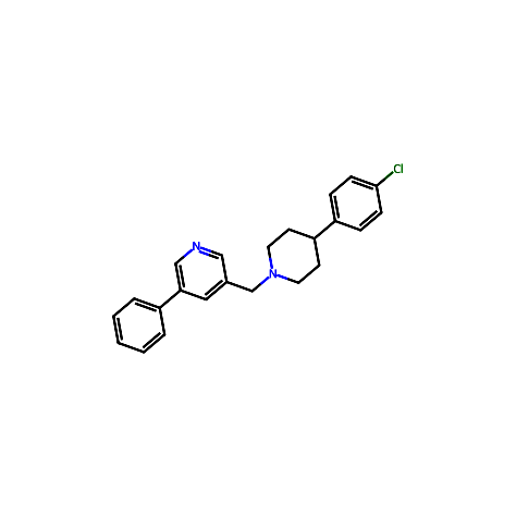 Clc1ccc(C2CCN(Cc3cncc(-c4ccccc4)c3)CC2)cc1